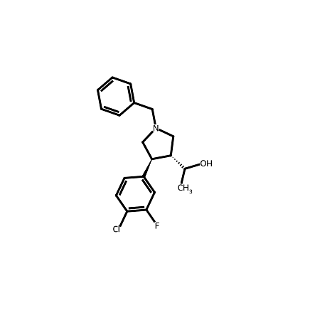 CC(O)[C@H]1CN(Cc2ccccc2)C[C@@H]1c1ccc(Cl)c(F)c1